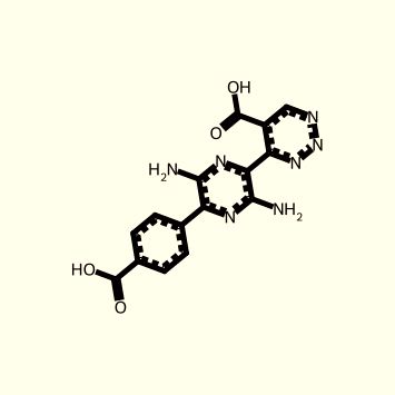 Nc1nc(-c2nnncc2C(=O)O)c(N)nc1-c1ccc(C(=O)O)cc1